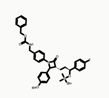 COc1ccc(C2[C@@H](CC[C@H](O[Si](C)(C)C(C)(C)C)c3ccc(F)cc3)C(=O)N2c2ccc(CNC(=O)OCc3ccccc3)cc2)cc1